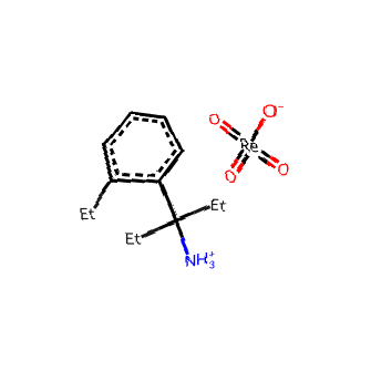 CCc1ccccc1C([NH3+])(CC)CC.[O]=[Re](=[O])(=[O])[O-]